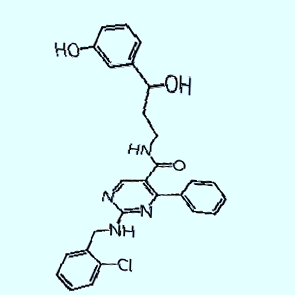 O=C(NCCC(O)c1cccc(O)c1)c1cnc(NCc2ccccc2Cl)nc1-c1ccccc1